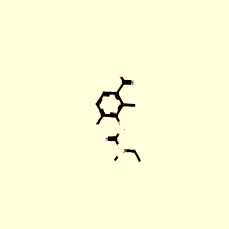 CCN(C)C(=O)Nc1c(Cl)ccc(C(=O)O)c1C